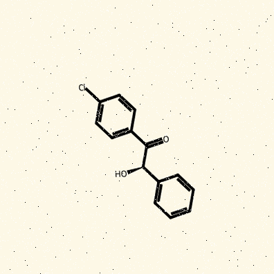 O=C(c1ccc(Cl)cc1)[C@H](O)c1ccccc1